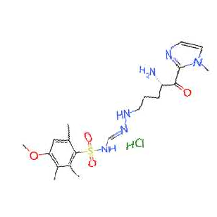 COc1cc(C)c(S(=O)(=O)NC=NNCCC[C@H](N)C(=O)c2nccn2C)c(C)c1C.Cl